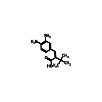 CC(C)(C)C(=Cc1ccc(N)c(N)c1)C(=O)O